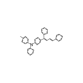 Cc1ccc(N(c2ccccc2)c2ccc(C(=CC=Cc3ccccc3)c3ccccc3)cc2)cc1